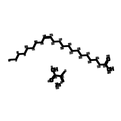 C=C(C)C(=O)O.CCCCCCCC/C=C\CCCCCCCCCCCC(=O)O.[Zn]